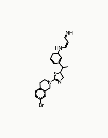 CC(C1=CC(N/C=C\C=N)CC=C1)C1CN=C(N2CCc3ccc(Br)cc3C2)S1